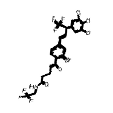 O=C(CCCC(=O)c1ccc(/C=C/C(c2cc(Cl)c(Cl)c(Cl)c2)C(F)(F)F)cc1Br)NCC(F)(F)F